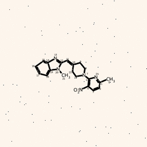 Cc1ccc([N+](=O)[O-])c(N2CCC(=Cc3nc4ccccc4n3C)CC2)n1